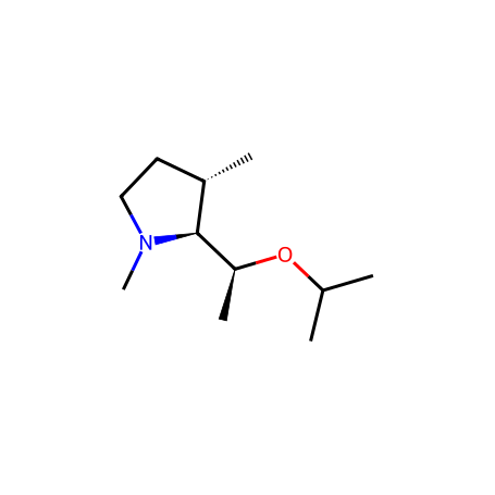 CC(C)O[C@@H](C)[C@@H]1[C@@H](C)CCN1C